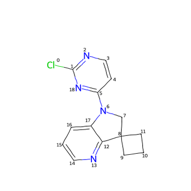 Clc1nccc(N2CC3(CCC3)c3ncccc32)n1